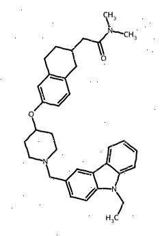 CCn1c2ccccc2c2cc(CN3CCC(Oc4ccc5c(c4)CCC(CC(=O)N(C)C)C5)CC3)ccc21